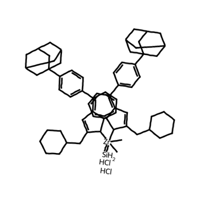 Cl.Cl.[CH3][Zr]([CH3])(=[SiH2])([CH]1C(CC2CCCCC2)=Cc2c(-c3ccc(C45CC6CC(CC(C6)C4)C5)cc3)cccc21)[CH]1C(CC2CCCCC2)=Cc2c(-c3ccc(C45CC6CC(CC(C6)C4)C5)cc3)cccc21